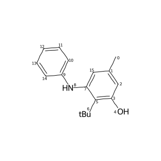 Cc1cc(O)c(C(C)(C)C)c(Nc2ccccc2)c1